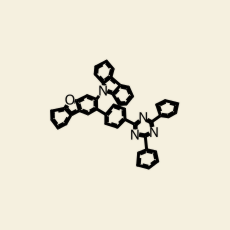 c1ccc(-c2nc(-c3ccccc3)nc(-c3ccc(-c4cc5c(cc4-n4c6ccccc6c6ccccc64)oc4ccccc45)cc3)n2)cc1